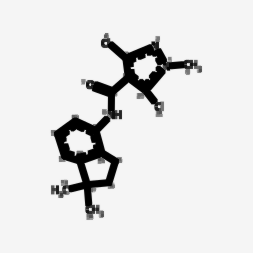 Cn1nc(Cl)c(C(=O)Nc2cccc3c2CCC3(C)C)c1Cl